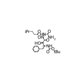 CC(C)CCC(=O)ON(NC(N)=O)C(=O)[C@H](O)[C@H](Cc1ccccc1)NC(=O)OC(C)(C)C